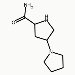 NC(=O)C1CC(N2CCCC2)CN1